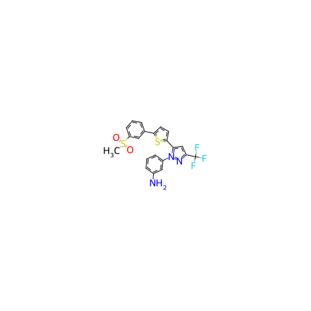 CS(=O)(=O)c1cccc(-c2ccc(-c3cc(C(F)(F)F)nn3-c3cccc(N)c3)s2)c1